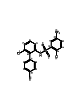 O=S(=O)(Nc1ncnc(Cl)c1-c1ccc(Cl)cc1)c1cc(C(F)(F)F)ccc1Cl